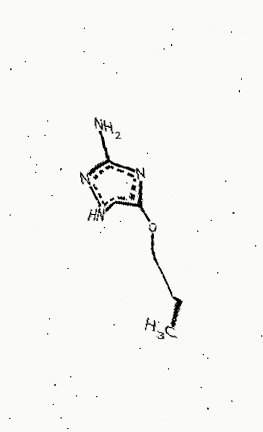 CCCOc1nc(N)n[nH]1